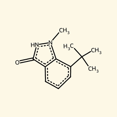 Cn1[nH]c(=O)c2cccc(C(C)(C)C)c21